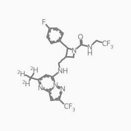 [2H]C([2H])([2H])c1cc(NCC2CN(C(=O)NCC(F)(F)F)C2c2ccc(F)cc2)n2nc(C(F)(F)F)cc2n1